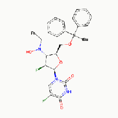 CC(C)CN(O)[C@H]1[C@H](F)[C@H](n2cc(F)c(=O)[nH]c2=O)O[C@@H]1CO[Si](c1ccccc1)(c1ccccc1)C(C)(C)C